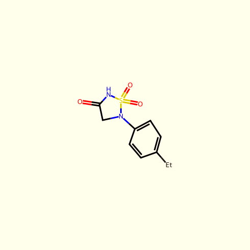 CCc1ccc(N2CC(=O)NS2(=O)=O)cc1